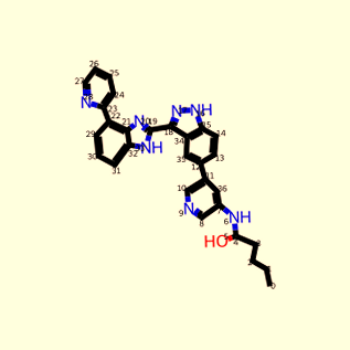 CCCCC(O)Nc1cncc(-c2ccc3[nH]nc(-c4nc5c(-c6ccccn6)cccc5[nH]4)c3c2)c1